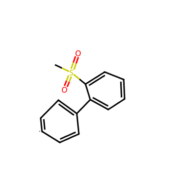 CS(=O)(=O)c1ccccc1-c1cc[c]cc1